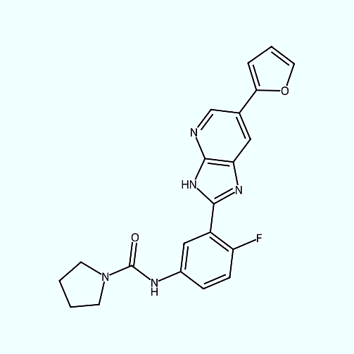 O=C(Nc1ccc(F)c(-c2nc3cc(-c4ccco4)cnc3[nH]2)c1)N1CCCC1